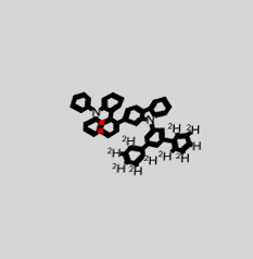 [2H]c1c([2H])c([2H])c(-c2cc(-c3c([2H])c([2H])c([2H])c([2H])c3[2H])cc(-n3c4ccccc4c4ccc(-c5ccccc5-c5ccccc5N(c5ccccc5)c5ccccc5)cc43)c2)c([2H])c1[2H]